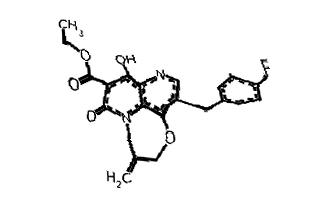 C=C1COc2c(Cc3ccc(F)cc3)cnc3c(O)c(C(=O)OCC)c(=O)n(c23)C1